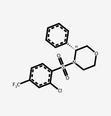 O=S(=O)(c1ccc(C(F)(F)F)cc1Cl)N1CCOC[C@H]1c1ccccc1